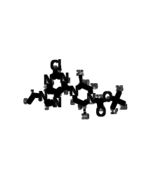 CCn1cnc2c(N3C[C@@H](C)N(C(=O)OC(C)(C)C)C[C@@H]3C)nc(Cl)nc21